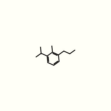 CCCc1cccc([C](C)C)c1C